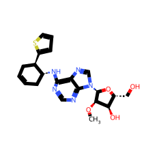 CO[C@@H]1[C@H](O)[C@@H](CO)O[C@H]1n1cnc2c(N[C@@H]3CC=CC[C@H]3c3cccs3)ncnc21